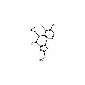 Cc1c(Br)ccc2c3oc(CO)nc3c(=O)n(C3CC3)c12